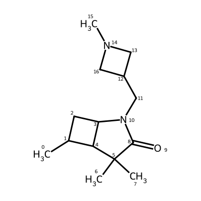 CC1CC2C1C(C)(C)C(=O)N2CC1CN(C)C1